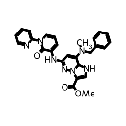 COC(=O)C1=CNC2C(N(C)Cc3ccccc3)=CC(Nc3cccn(-c4ccccn4)c3=O)=NN12